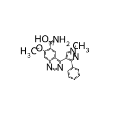 COc1cc2ncnc(-c3cn(C)nc3-c3ccccc3)c2cc1[C@H](N)O